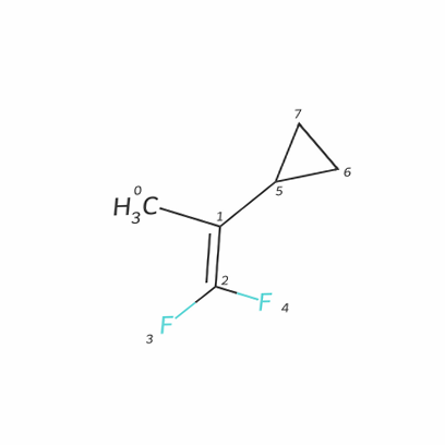 CC(=C(F)F)C1CC1